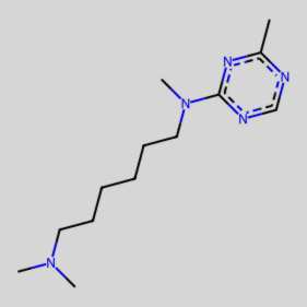 Cc1ncnc(N(C)CCCCCCN(C)C)n1